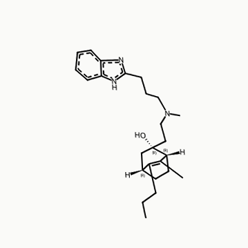 CCCC1=C(C)[C@H]2CC[C@@H]1C[C@@]2(O)CCN(C)CCCc1nc2ccccc2[nH]1